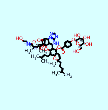 CC(C)=CCCC1(C)C=Cc2c(c(CC=C(C)C)c3c(c2OC(=O)c2ccc(O[C@@H]4O[C@H](CO)[C@@H](O)[C@H](O)[C@H]4O)cc2)C2=C4C(C5CC(C(C)C)C4(O3)C(O)(C/C=C(/C)C(=O)NCCO)C5=O)n3ncnc3N2)O1